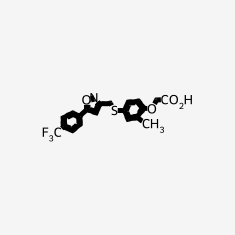 Cc1cc(SCc2cc(-c3ccc(C(F)(F)F)cc3)on2)ccc1OCC(=O)O